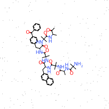 CC(=O)C(C)NC(=O)C(C)(C)NC(=O)C(Cc1ccc(C(=O)c2ccccc2)cc1)NC(=O)C(C)(C)NC(=O)C(Cc1ccc2ccccc2c1)NC(=O)C(C)(C)NC(=O)C(C)NC(=O)C(C)(C)N